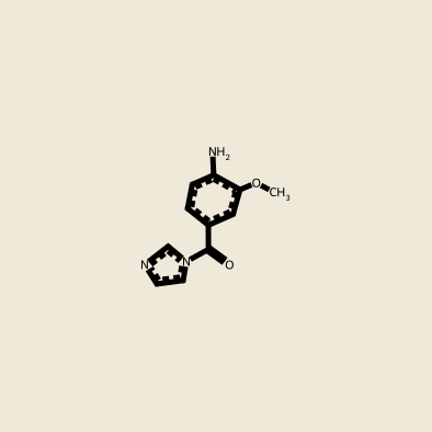 COc1cc(C(=O)n2ccnc2)ccc1N